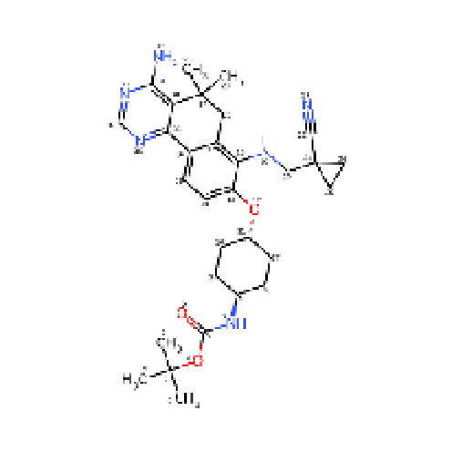 CC(C)(C)OC(=O)N[C@H]1CC[C@H](Oc2ccc3c(c2NCC2(C#N)CC2)CC(C)(C)c2c(N)ncnc2-3)CC1